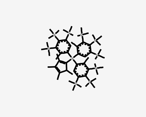 CC1=C(C)C(C)C([Si](c2cc([Si](C)(C)C)c([Si](C)(C)C)c([Si](C)(C)C)c2C)(c2cc([Si](C)(C)C)c([Si](C)(C)C)c([Si](C)(C)C)c2C)c2cc([Si](C)(C)C)c([Si](C)(C)C)c([Si](C)(C)C)c2C)=C1C